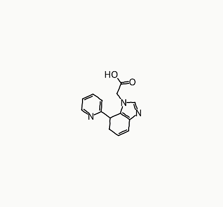 O=C(O)Cn1cnc2c1C(c1ccccn1)CC=C2